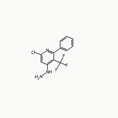 NNc1cc(Cl)nc(-c2ccccc2)c1C(F)(F)F